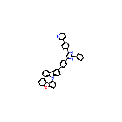 c1ccc(-c2nc(-c3ccc(-c4cccnc4)cc3)cc(-c3ccc(-c4ccc5c(c4)c4ccccc4n5-c4cccc5oc6ccccc6c45)cc3)n2)cc1